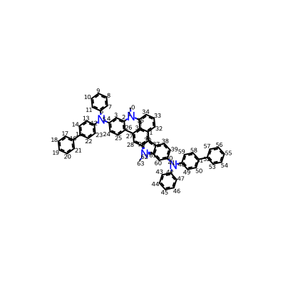 CN1c2cc(N(c3ccccc3)c3ccc(-c4ccccc4)cc3)ccc2-c2cc3c(c4cccc1c24)c1ccc(N(c2ccccc2)c2ccc(-c4ccccc4)cc2)cc1n3C